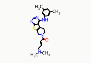 Cc1cc(C)cc(Nc2ncnc3sc4c(c23)CCN(C(=O)/C=C/CN(C)C)C4)c1